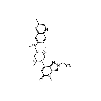 Cc1cnc2ccc([C@@H](C)N3C[C@H](C)N(c4cc(=O)n(C)c5cn(CC#N)nc45)C[C@H]3C)cc2n1